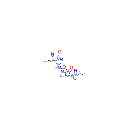 C=CN(NC(C)C(C)CC)c1cc2c(nc1C=O)N(C(=O)N/C(C)=C/C(NCCOC)=C(C#N)\C=C\CC)CCC2